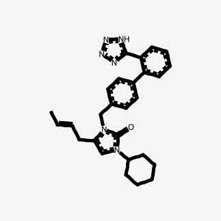 CC=CCc1cn(C2CCCCC2)c(=O)n1Cc1ccc(-c2ccccc2-c2nnn[nH]2)cc1